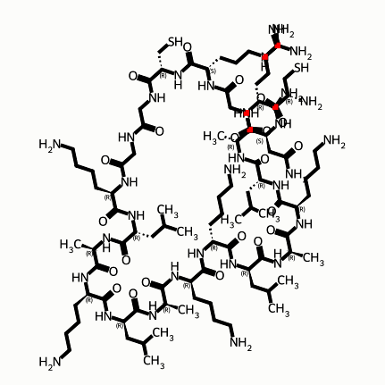 CC(C)C[C@@H](NC(=O)[C@@H](CCCCN)NC(=O)CNC(=O)CNC(=O)[C@H](CS)NC(=O)[C@H](CCCNC(=N)N)NC(=O)CNC(=O)[C@H](CC(N)=O)NC(=O)[C@@H](N)CS)C(=O)N[C@H](C)C(=O)N[C@H](CCCCN)C(=O)N[C@H](CC(C)C)C(=O)N[C@H](C)C(=O)N[C@H](CCCCN)C(=O)N[C@H](CCCCN)C(=O)N[C@H](CC(C)C)C(=O)N[C@H](C)C(=O)N[C@H](CCCCN)C(=O)N[C@H](CC(C)C)C(=O)N[C@H](C)C(=O)N[C@H](CCCCN)C(N)=O